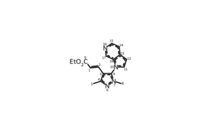 CCOC(=O)/C=C/c1c(C)nn(C)c1-n1ccc2ccncc21